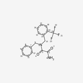 NC(=O)C(=O)N(Cc1ccccc1)Cc1ccccc1C(F)(F)F